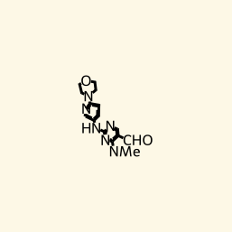 CNc1nc(Nc2ccc(N3CCOCC3)nc2)ncc1C=O